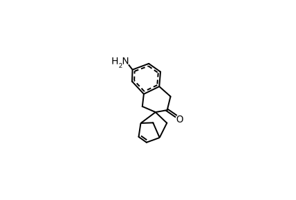 Nc1ccc2c(c1)CC1(CC3C=CC1C3)C(=O)C2